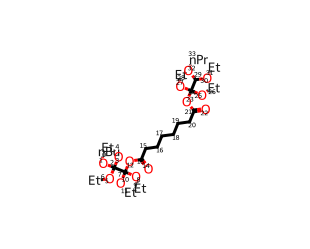 CCCCOC(OCC)(OCC)C(OCC)(OCC)OC(=O)CCCCCCC(=O)OC(OCC)(OCC)C(OCC)OCCC